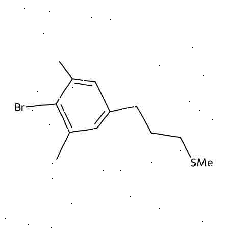 CSCCCc1cc(C)c(Br)c(C)c1